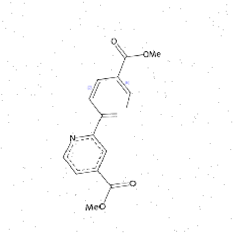 C=C(/C=C\C(=C/C)C(=O)OC)c1cc(C(=O)OC)ccn1